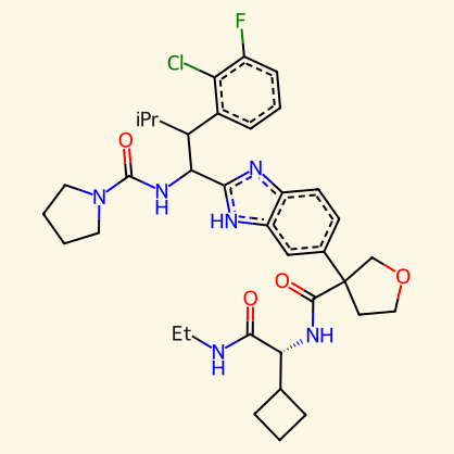 CCNC(=O)[C@H](NC(=O)C1(c2ccc3nc(C(NC(=O)N4CCCC4)C(c4cccc(F)c4Cl)C(C)C)[nH]c3c2)CCOC1)C1CCC1